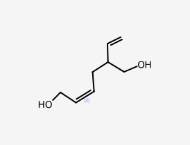 C=CC(CO)C/C=C\CO